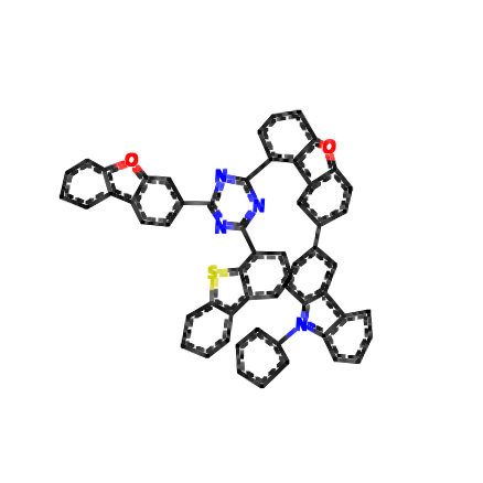 c1ccc(-n2c3ccccc3c3cc(-c4ccc5oc6cccc(-c7nc(-c8ccc9c(c8)oc8ccccc89)nc(-c8cccc9c8sc8ccccc89)n7)c6c5c4)ccc32)cc1